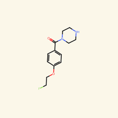 O=C(c1ccc(OCCF)cc1)N1CCNCC1